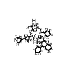 COC(=O)N[C@H](C(=O)Nc1ccccc1CC[C@@H]1CN[C@H](C)[C@@H](CSc2nnc(-c3ccncc3)o2)O1)C(c1ccccc1)c1ccccc1